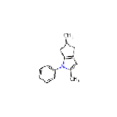 Cc1cc2c(n1-c1ccccc1)CC(C)C2